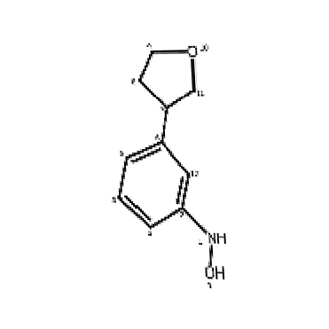 ONc1cccc(C2CCOC2)c1